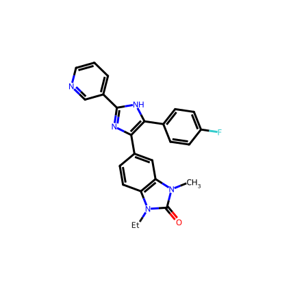 CCn1c(=O)n(C)c2cc(-c3nc(-c4cccnc4)[nH]c3-c3ccc(F)cc3)ccc21